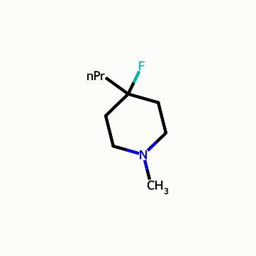 CCCC1(F)CCN(C)CC1